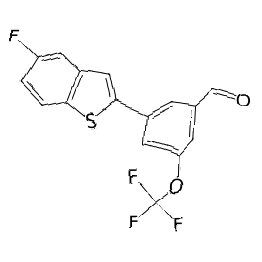 O=Cc1cc(OC(F)(F)F)cc(-c2cc3cc(F)ccc3s2)c1